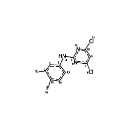 Cc1cc(Nc2nc(Cl)cc(Cl)n2)ccc1F